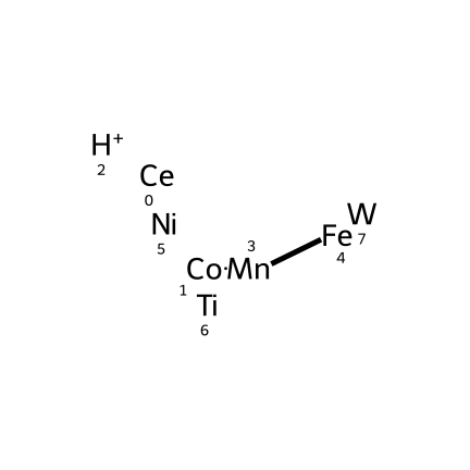 [Ce].[Co].[H+].[Mn][Fe].[Ni].[Ti].[W]